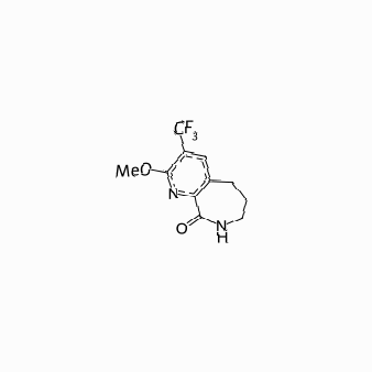 COc1nc2c(cc1C(F)(F)F)CCCNC2=O